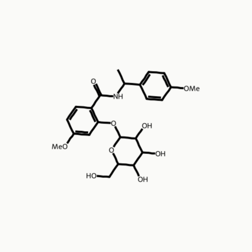 COc1ccc(C(C)NC(=O)c2ccc(OC)cc2OC2OC(CO)C(O)C(O)C2O)cc1